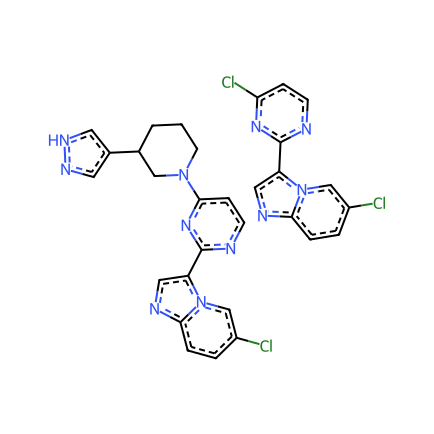 Clc1ccc2ncc(-c3nccc(Cl)n3)n2c1.Clc1ccc2ncc(-c3nccc(N4CCCC(c5cn[nH]c5)C4)n3)n2c1